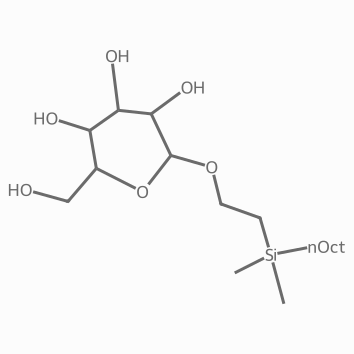 CCCCCCCC[Si](C)(C)CCOC1OC(CO)C(O)C(O)C1O